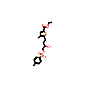 CCOC(=O)c1cc(C)c(CCC(O)COS(=O)(=O)c2ccc(C)cc2)s1